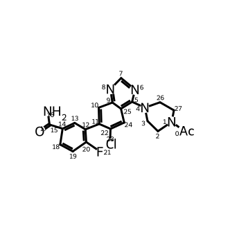 CC(=O)N1CCN(c2ncnc3cc(-c4cc(C(N)=O)ccc4F)c(Cl)cc23)CC1